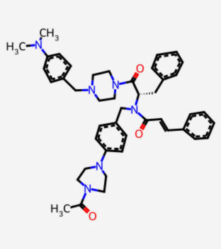 CC(=O)N1CCN(c2ccc(CN(C(=O)/C=C/c3ccccc3)[C@@H](Cc3ccccc3)C(=O)N3CCN(Cc4ccc(N(C)C)cc4)CC3)cc2)CC1